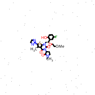 COCCO[C@@H](Cn1c(=O)n(C2CCN(C)C2=O)c(=O)c2c(C)c(-n3nccn3)sc21)c1cc(F)ccc1O